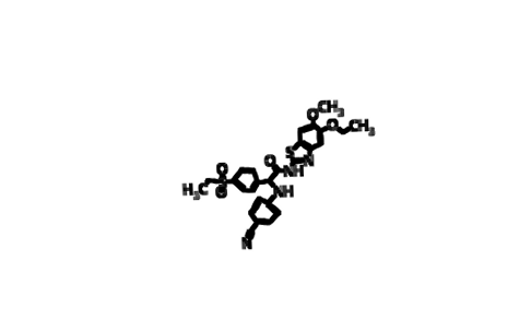 CCOc1cc2nc(NC(=O)C(Nc3ccc(C#N)cc3)c3ccc(S(=O)(=O)CC)cc3)sc2cc1OC